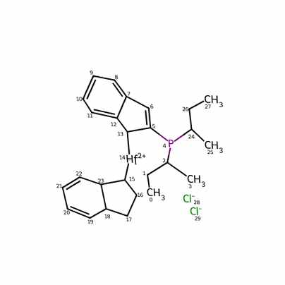 CCC(C)P(C1=Cc2ccccc2[CH]1[Hf+2][CH]1CCC2C=CC=CC21)C(C)CC.[Cl-].[Cl-]